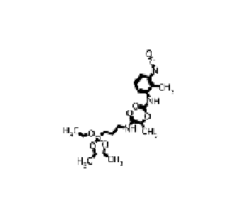 CCO[Si](CCCNC(=O)C(C)OC(=O)Nc1cccc(N=C=O)c1C)(OCC)OCC